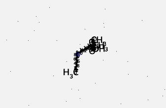 CCCCCCCC/C=C\CCCCCCC(C(=O)O)C(C)OC